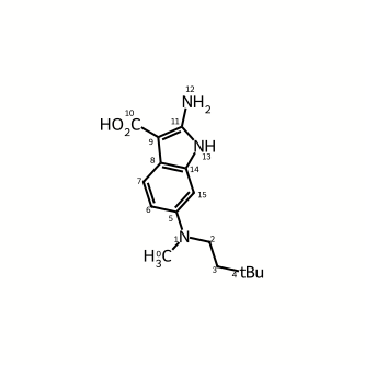 CN(CCC(C)(C)C)c1ccc2c(C(=O)O)c(N)[nH]c2c1